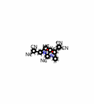 N#Cc1cc(C#N)cc(-c2ccc3c(c2)c2ccccc2n3-c2cc(C#N)cc(-n3c4ccccc4c4cc(-c5cc(C#N)cc(C#N)c5)ccc43)c2-c2cc(C#N)cc(C#N)c2)c1